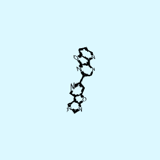 c1cnc2c(c1)oc1nc(-c3cc4oc5ncncc5c4cn3)cnc12